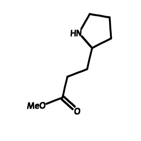 COC(=O)CCC1CCCN1